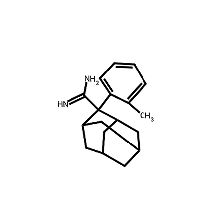 Cc1ccccc1C1(C(=N)N)C2CC3CC(C2)CC1C3